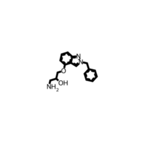 NCC(O)COc1cccc2nn(Cc3ccccc3)cc12